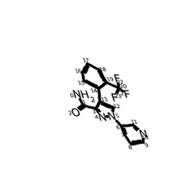 NC(=O)c1nn(-c2cccnc2)cc1-c1ccccc1C(F)(F)F